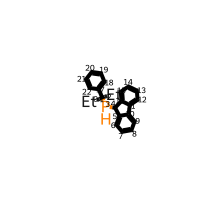 CCC(CC)(PC1c2ccccc2-c2ccccc21)c1ccccc1